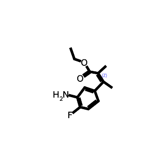 CCOC(=O)/C(C)=C(/C)c1ccc(F)c(N)c1